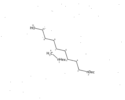 CCCCCCC.CCCCCCCCCCCCCCCCCCO